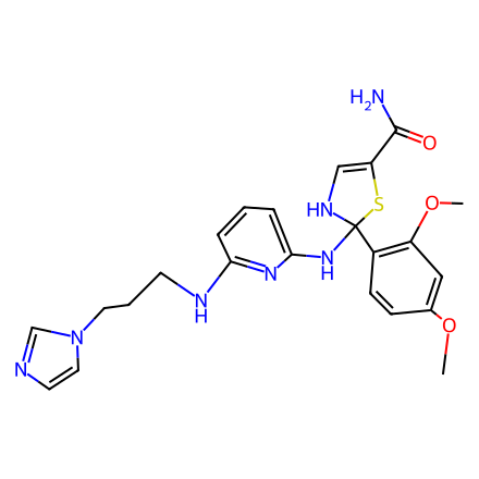 COc1ccc(C2(Nc3cccc(NCCCn4ccnc4)n3)NC=C(C(N)=O)S2)c(OC)c1